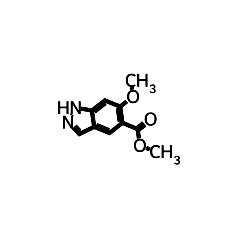 COC(=O)c1cc2cn[nH]c2cc1OC